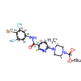 C[C@@H]1CN(C(=O)OC(C)(C)C)CCN1c1ccc(C(=O)Nc2cc(F)c(Br)c(F)c2)cn1